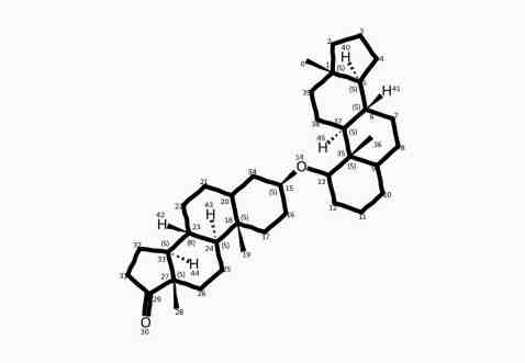 C[C@@]12CCC[C@H]1[C@@H]1CCC3CCCC(O[C@H]4CC[C@@]5(C)C(CC[C@@H]6[C@@H]5CC[C@]5(C)C(=O)CC[C@@H]65)C4)[C@]3(C)[C@H]1CC2